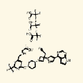 C[C@H](O)CNCc1cc(O[C@H]2CC[C@@H](N3CC(CC#N)(n4cc(-c5ncnc6[nH]ccc56)cn4)C3)CC2)nc(C(F)(F)F)n1.O=C(O)C(F)(F)F.O=C(O)C(F)(F)F.O=C(O)C(F)(F)F